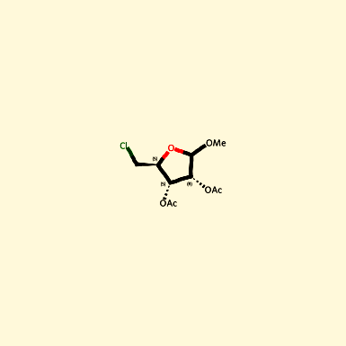 COC1O[C@H](CCl)[C@@H](OC(C)=O)[C@H]1OC(C)=O